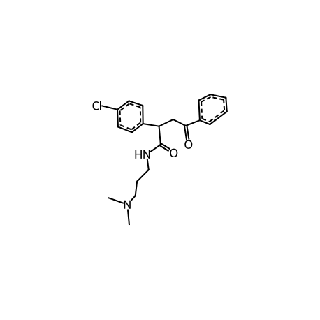 CN(C)CCCNC(=O)C(CC(=O)c1ccccc1)c1ccc(Cl)cc1